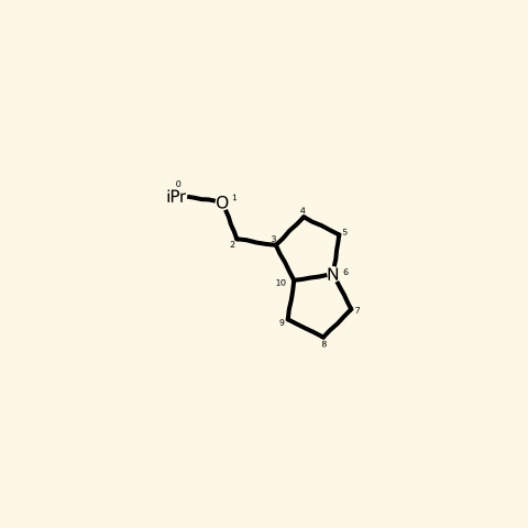 CC(C)OCC1CCN2CCCC12